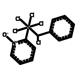 [O-][n+]1ccccc1S(Cl)(Cl)(Cl)(Cl)C(Cl)c1ccccc1